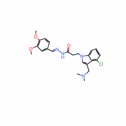 COc1ccc(C=NNC(=O)CCn2cc(CN(C)C)c3c(Cl)cccc32)cc1OC